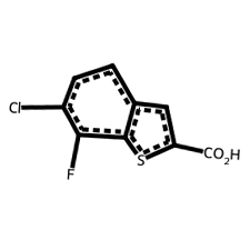 O=C(O)c1cc2ccc(Cl)c(F)c2s1